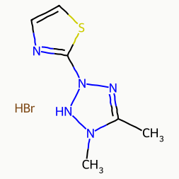 Br.CC1=NN(c2nccs2)NN1C